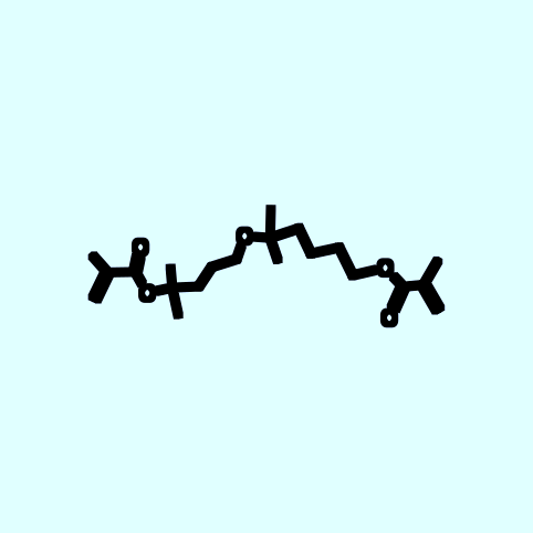 C=C(C)C(=O)OCCCCC(C)(C)OCCCC(C)(C)OC(=O)C(=C)C